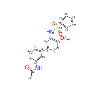 COc1ccc(-c2cncc(NC(C)=O)c2)cc1NS(=O)(=O)c1ccccc1